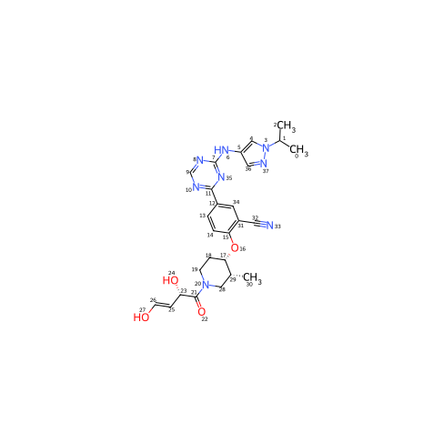 CC(C)n1cc(Nc2ncnc(-c3ccc(O[C@H]4CCN(C(=O)[C@@H](O)/C=C/O)C[C@H]4C)c(C#N)c3)n2)cn1